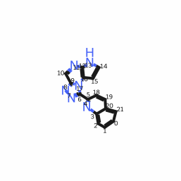 c1ccc2nc(-c3nnc4cnc5[nH]ccc5n34)ccc2c1